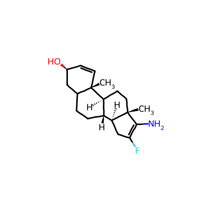 C[C@]12C=C[C@H](O)CC1CC[C@@H]1[C@@H]2CC[C@]2(C)C(N)=C(F)C[C@@H]12